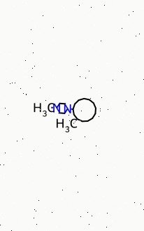 C[C@H]1CCCCCCCCCCC(N2CCN(C)CC2)C1